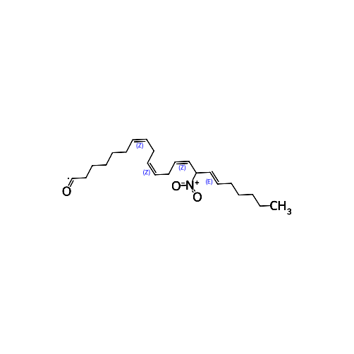 CCCCC/C=C/C(/C=C\C/C=C\C/C=C\CCCCC[C]=O)[N+](=O)[O-]